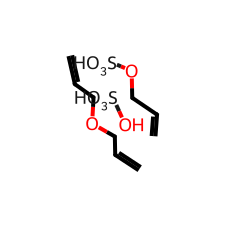 C=CCOCC=C.C=CCOS(=O)(=O)O.O=S(=O)(O)O